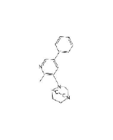 Cc1ncc(-c2ccccc2)cc1N1CCN2CCC1CC2